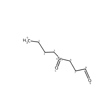 CCC[CH2][Sn](=[O])[CH2]CC=O